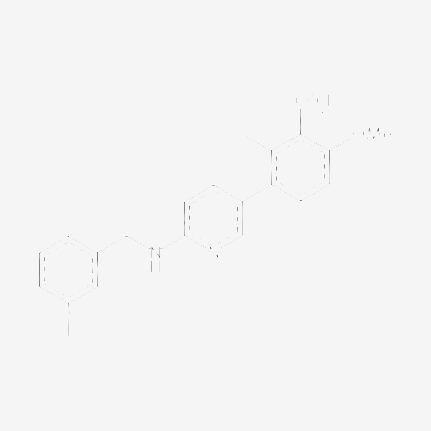 COc1ccc(-c2ccc(NCc3cccc(C)c3)nc2)c(C)c1C(=O)O